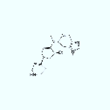 CC[C@H]1C[C@@H](C2=CCNCC2)CC=C1N(C)C1Cc2c(ncn2C)C=N1